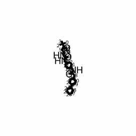 CC(C)(C)c1cc(NC(=O)Nc2ccc(NC(=O)Cc3ccc(-c4ccccc4)cc3)cc2)no1